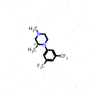 C[C@H]1CN(C)CCN1c1cc(C(F)(F)F)cc(C(F)(F)F)c1